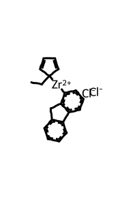 CC[C]1([Zr+2][c]2cccc3c2Cc2ccccc2-3)C=CC=C1.[Cl-].[Cl-]